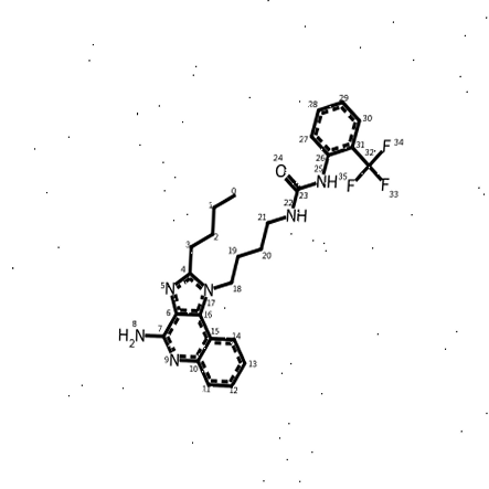 CCCCc1nc2c(N)nc3ccccc3c2n1CCCCNC(=O)Nc1ccccc1C(F)(F)F